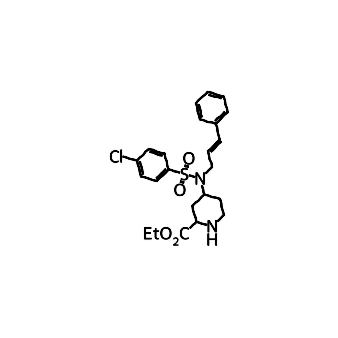 CCOC(=O)C1CC(N(CC=Cc2ccccc2)S(=O)(=O)c2ccc(Cl)cc2)CCN1